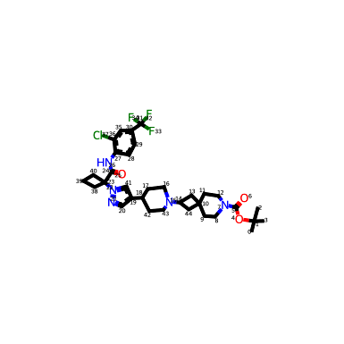 CC(C)(C)OC(=O)N1CCC2(CC1)CC(N1CCC(c3cnn(C4(C(=O)Nc5ccc(C(F)(F)F)cc5Cl)CCC4)c3)CC1)C2